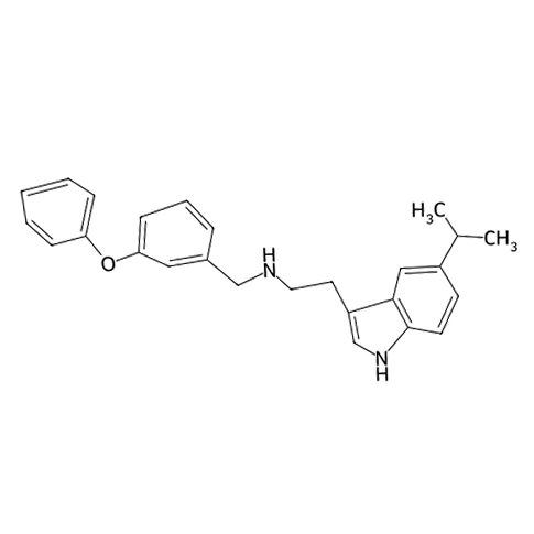 CC(C)c1ccc2[nH]cc(CCNCc3cccc(Oc4ccccc4)c3)c2c1